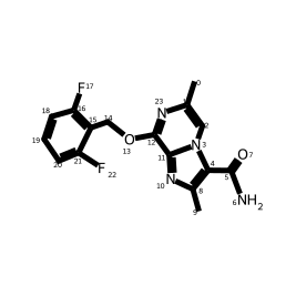 Cc1cn2c(C(N)=O)c(C)nc2c(OCc2c(F)cccc2F)n1